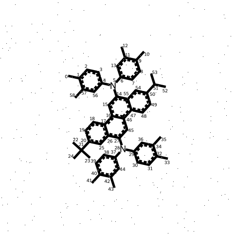 Cc1ccc(N(c2ccc(C)c(C)c2)c2cc3c4ccc(C(C)(C)C)cc4c(N(c4ccc(C)c(C)c4)c4ccc(C)c(C)c4)cc3c3ccc(C(C)C)cc23)cc1C